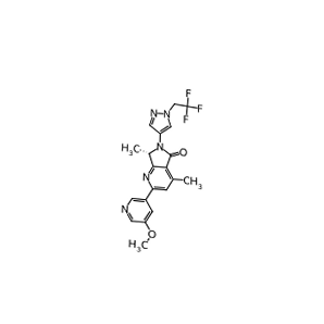 COc1cncc(-c2cc(C)c3c(n2)[C@H](C)N(c2cnn(CC(F)(F)F)c2)C3=O)c1